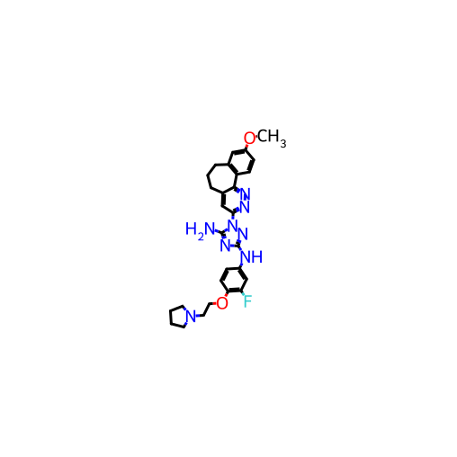 COc1ccc2c(c1)CCCc1cc(-n3nc(Nc4ccc(OCCN5CCCC5)c(F)c4)nc3N)nnc1-2